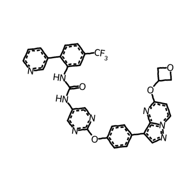 O=C(Nc1cnc(Oc2ccc(-c3cnn4ccc(OC5COC5)nc34)cc2)nc1)Nc1cc(C(F)(F)F)ccc1-c1cccnc1